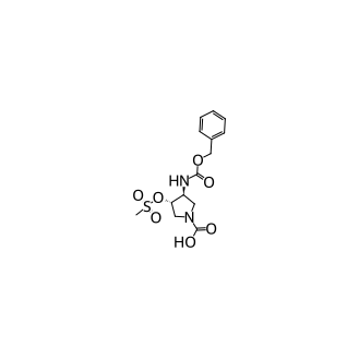 CS(=O)(=O)O[C@H]1CN(C(=O)O)C[C@@H]1NC(=O)OCc1ccccc1